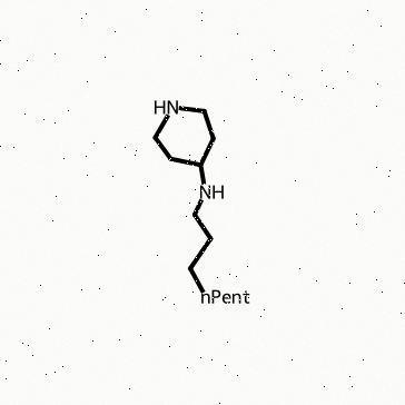 CCCCCCCCNC1CCNCC1